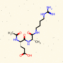 CC(=O)N[C@@H](CCC(=O)O)C(=O)N[C@@H](C)C(=O)NCCCCNC(=N)N